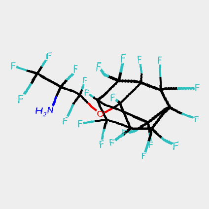 NC(F)(C(F)(F)F)C(F)(F)OC1(F)C2(F)C(F)(F)C3(F)C(F)(F)C(F)(C2(F)F)C(F)(F)C1(F)C3(F)F